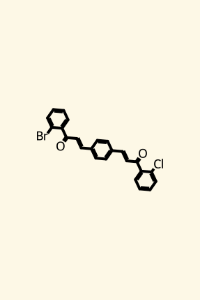 O=C(/C=C/c1ccc(/C=C/C(=O)c2ccccc2Br)cc1)c1ccccc1Cl